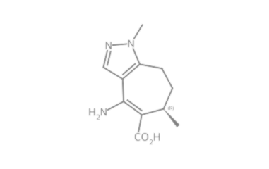 C[C@@H]1CCc2c(cnn2C)C(N)=C1C(=O)O